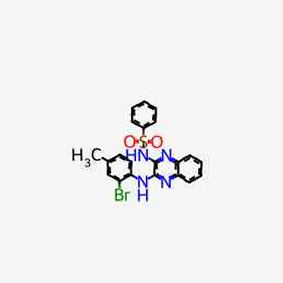 Cc1ccc(Nc2nc3ccccc3nc2NS(=O)(=O)c2ccccc2)c(Br)c1